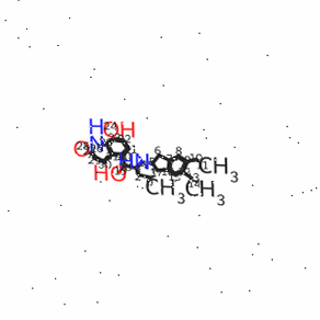 CCCC(NC1Cc2cc(CC)c(CC)cc2C1)C(O)c1ccc(O)c2[nH]c(=O)ccc12